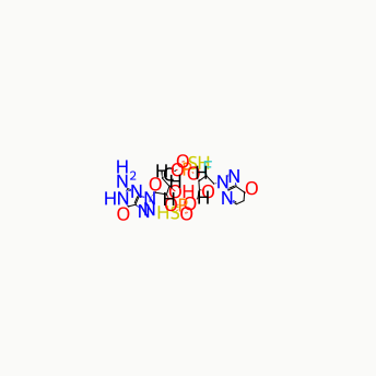 Nc1nc2c(nnn2[C@@H]2O[C@@H]3CO[P@@](=O)(S)O[C@H]4[C@H](F)[C@H](n5cnc6c5N=CCC6=O)O[C@@H]4CO[P@@](=O)(S)O[C@@H]2[C@@H]3O)c(=O)[nH]1